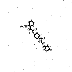 CC(=O)Nc1ccccc1C(=O)C(=O)Nc1ccc(C(=O)NCCc2ccccc2)cc1